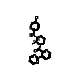 C[C@H]1[C@H](Nc2ccc(Cl)cn2)CCCN1C(=O)c1ncccc1-c1ncccn1